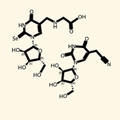 N#CCc1cn([C@@H]2O[C@H](CO)[C@@H](O)[C@H]2O)c(=O)[nH]c1=O.O=C(O)CNCc1cn([C@@H]2O[C@H](CO)[C@@H](O)[C@H]2O)c(=[Se])[nH]c1=O